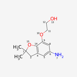 CC1(C)Cc2cc(N)cc(OCCO)c2O1